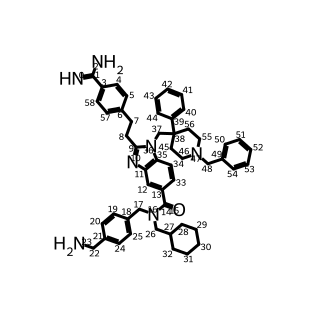 N=C(N)c1ccc(CCc2nc3cc(C(=O)N(Cc4ccc(CN)cc4)CC4CCCCC4)ccc3n2CC2(c3ccccc3)CCN(Cc3ccccc3)CC2)cc1